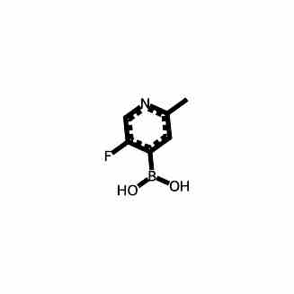 Cc1cc(B(O)O)c(F)cn1